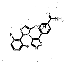 NC(=O)c1ccc(-c2sncc2N2C(C(=O)O)=CSC2c2c(F)cccc2F)cc1